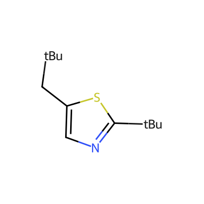 CC(C)(C)Cc1cnc(C(C)(C)C)s1